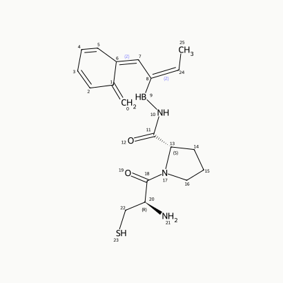 C=c1cccc/c1=C/C(BNC(=O)[C@@H]1CCCN1C(=O)[C@@H](N)CS)=C\C